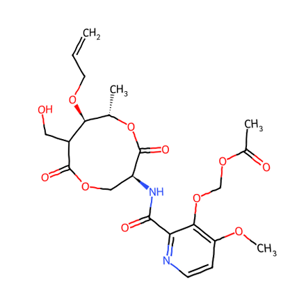 C=CCO[C@@H]1C(CO)C(=O)OC[C@H](NC(=O)c2nccc(OC)c2OCOC(C)=O)C(=O)O[C@H]1C